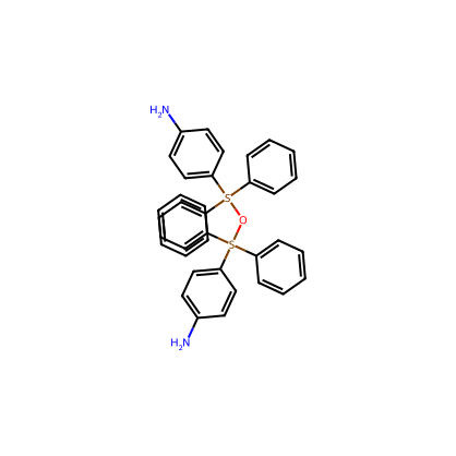 Nc1ccc(S(OS(c2ccccc2)(c2ccccc2)c2ccc(N)cc2)(c2ccccc2)c2ccccc2)cc1